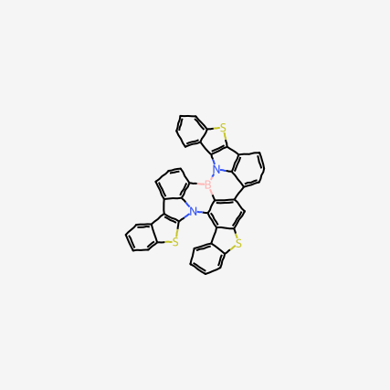 c1ccc2c(c1)sc1cc3c4c(c12)-n1c2sc5ccccc5c2c2cccc(c21)B4n1c2c-3cccc2c2sc3ccccc3c21